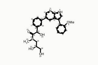 COc1ccccc1-c1c[nH]c2ncc(-c3cccc(C(O)C(=O)N(C)C[C@H](O)CO)c3)cc12